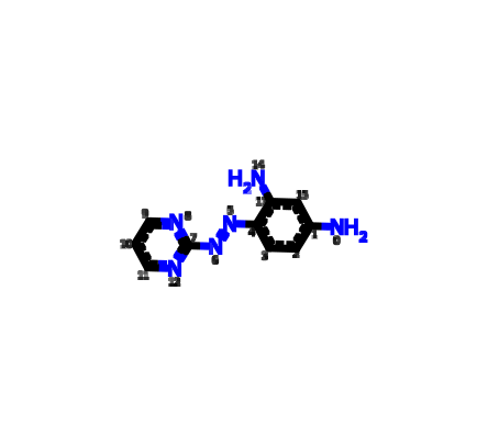 Nc1ccc(/N=N/c2ncccn2)c(N)c1